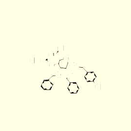 CO[C@H]1O[C@H](COCc2ccc(Cl)cc2)[C@@H](OCc2ccccc2)[C@H](OCc2ccccc2)[C@H]1OC(C)=O